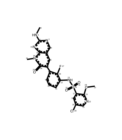 CNc1ncc2cc(-c3cccc(NS(=O)(=O)c4cc(Cl)cnc4OC)c3F)c(=O)n(C)c2n1